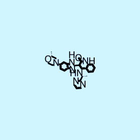 C[C@@H]1CN(c2ccc3nc(-c4c(N[C@H](C)c5ncccn5)c5ccccc5[nH]c4=O)[nH]c3c2)CCO1